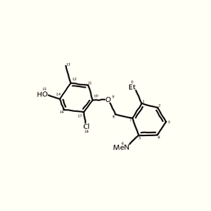 CCc1cccc(NC)c1COc1cc(C)c(O)cc1Cl